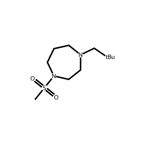 CC(C)(C)CN1CCCN(S(C)(=O)=O)CC1